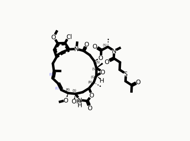 COc1cc2cc(c1Cl)N(C)C(=O)C[C@H](OC(=O)[C@H](C)N(C)C(=O)CCSCC(C)=O)[C@]1(C)O[C@H]1[C@H](C)C1C[C@@](O)(NC(=O)O1)[C@H](OC)/C=C/C=C(\C)C2